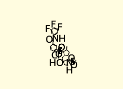 CC[C@](O)(CNS(C)(=O)=O)C[C@@H]1CCC(C)C1S(=O)(=O)c1cc(C(=O)Nc2cc(F)c(F)c(F)c2)ccc1Cl